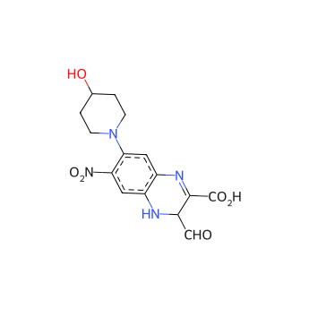 O=CC1Nc2cc([N+](=O)[O-])c(N3CCC(O)CC3)cc2N=C1C(=O)O